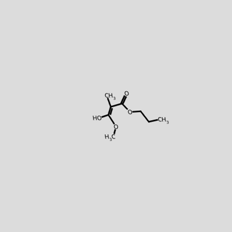 CCCOC(=O)C(C)=C(O)OC